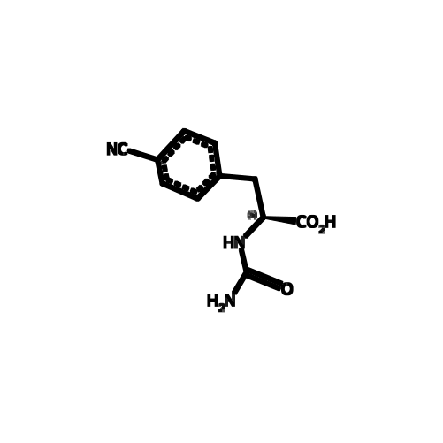 N#Cc1ccc(C[C@H](NC(N)=O)C(=O)O)cc1